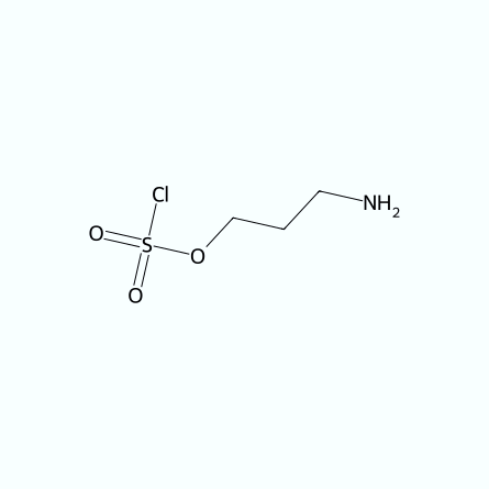 NCCCOS(=O)(=O)Cl